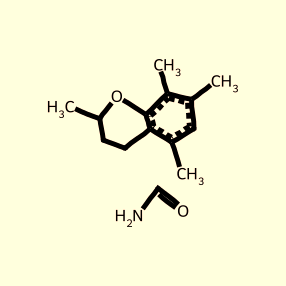 Cc1cc(C)c2c(c1C)OC(C)CC2.NC=O